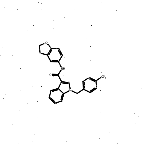 O=C(Nc1ccc2c(c1)OCO2)c1nn(Cc2ccc(C(F)(F)F)cc2)c2ccccc12